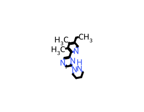 CCc1cnc(-c2cn[c]c(N3CCCCN3)n2)c(C)c1C